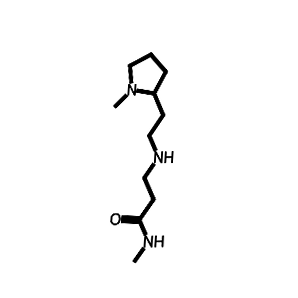 CNC(=O)CCNCCC1CCCN1C